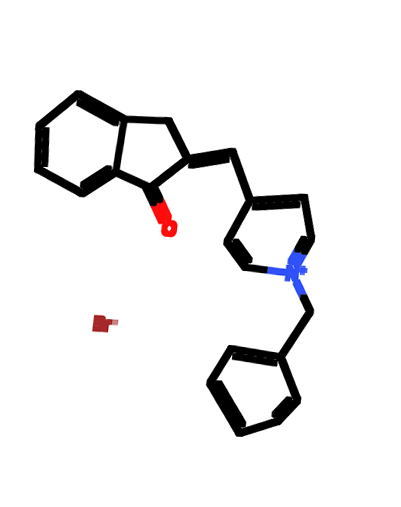 O=C1C(=Cc2cc[n+](Cc3ccccc3)cc2)Cc2ccccc21.[Br-]